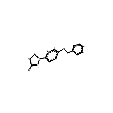 NC1=NN(c2ccc(OCc3ccccc3)cn2)CC1